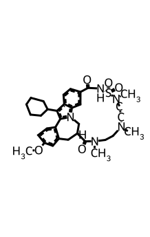 COc1ccc2c(c1)C[C@H]1Cn3c-2c(C2CCCCC2)c2ccc(cc23)C(=O)NS(=O)(=O)N(C)CCN(C)CCN(C)C1=O